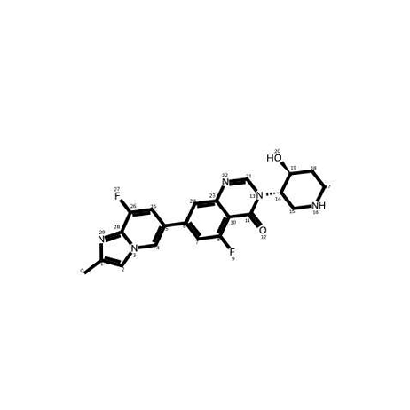 Cc1cn2cc(-c3cc(F)c4c(=O)n([C@H]5CNCC[C@@H]5O)cnc4c3)cc(F)c2n1